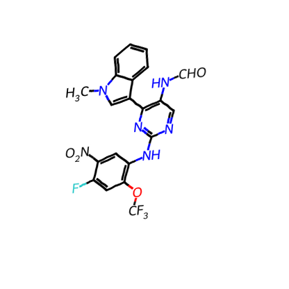 Cn1cc(-c2nc(Nc3cc([N+](=O)[O-])c(F)cc3OC(F)(F)F)ncc2NC=O)c2ccccc21